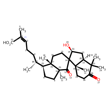 C/C(=C/CC[C@@H](C)[C@@H]1CC[C@]2(C)C(=O)C3(CC[C@@]12C)[C@@H](O)C[C@H]1C(C)(C)C(=O)CC[C@@]13C)C(=O)O